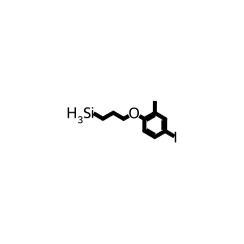 Cc1cc(I)ccc1OCCC[SiH3]